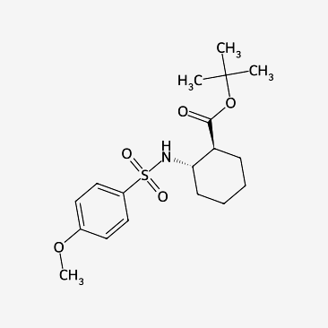 COc1ccc(S(=O)(=O)N[C@H]2CCCC[C@@H]2C(=O)OC(C)(C)C)cc1